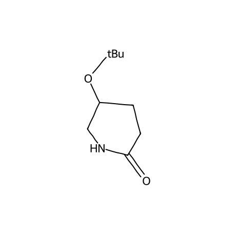 CC(C)(C)OC1CCC(=O)NC1